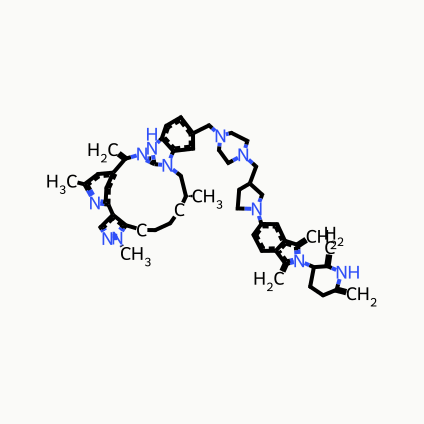 C=C1CCC(n2c(=C)c3ccc(N4CCC(CN5CCN(Cc6ccc7c(c6)N6C[C@H](C)CCCCc8c(cnn8C)-c8cc(cc(C)n8)C(=C)/N=C/6N7)CC5)C4)cc3c2=C)C(=C)N1